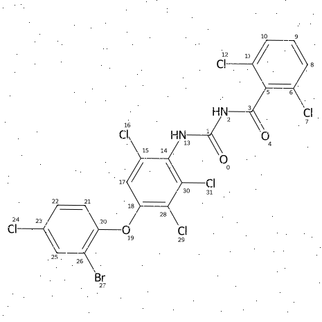 O=C(NC(=O)c1c(Cl)cccc1Cl)Nc1c(Cl)cc(Oc2ccc(Cl)cc2Br)c(Cl)c1Cl